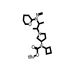 C=NN(C1CCCCO1)C(C)C(C)N1CC[C@@H](N(C(=O)OC(C)(C)C)C2CCC2)C1